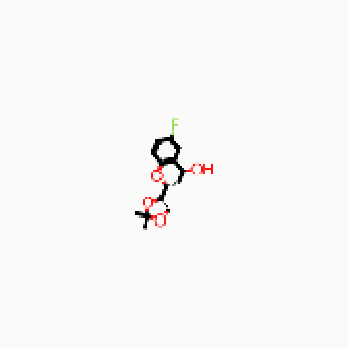 CC1(C)OC[C@@H]([C@H]2C[C@H](O)c3cc(F)ccc3O2)O1